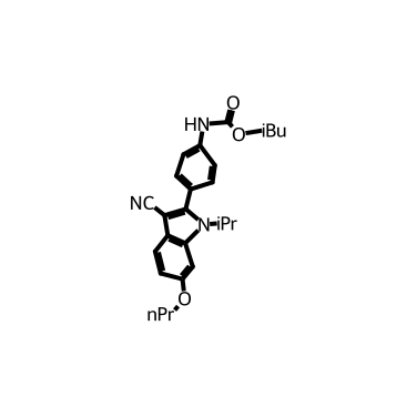 CCCOc1ccc2c(C#N)c(-c3ccc(NC(=O)OC(C)CC)cc3)n(C(C)C)c2c1